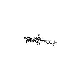 O=C(O)CCCCn1nc(F)c2nc(NCc3ccc(F)c(F)c3)[nH]c(=O)c21